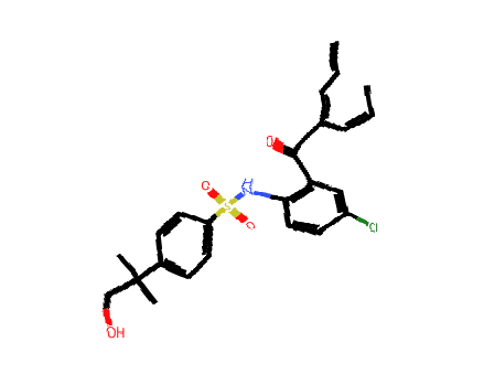 C=C/C=C(\C=C/C)C(=O)c1cc(Cl)ccc1NS(=O)(=O)c1ccc(C(C)(C)CO)cc1